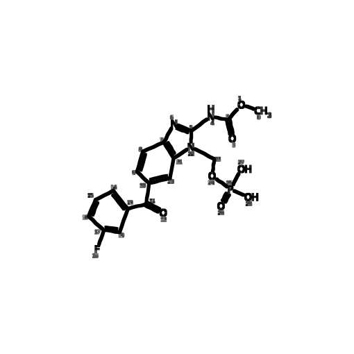 COC(=O)Nc1nc2ccc(C(=O)c3cccc(F)c3)cc2n1COP(=O)(O)O